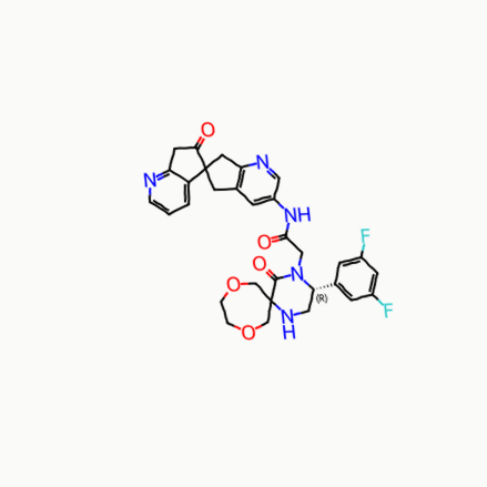 O=C(CN1C(=O)C2(COCCOC2)NC[C@H]1c1cc(F)cc(F)c1)Nc1cnc2c(c1)CC1(C2)C(=O)Cc2ncccc21